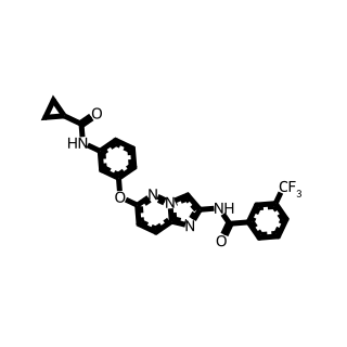 O=C(Nc1cn2nc(Oc3cccc(NC(=O)C4CC4)c3)ccc2n1)c1cccc(C(F)(F)F)c1